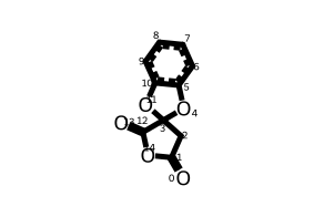 O=C1CC2(Oc3ccccc3O2)C(=O)O1